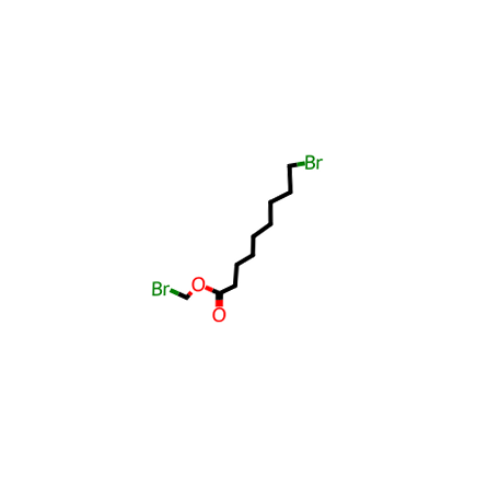 O=C(CCCCCCCCBr)OCBr